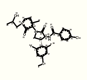 COc1cc(F)c([C@@H]2CN(c3c(C)ccn(CC(C)O)c3=O)C(=O)[C@H]2NC(=O)c2ccc(Cl)cc2)c(F)c1